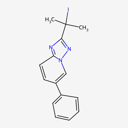 CC(C)(I)c1nc2ccc(-c3ccccc3)cn2n1